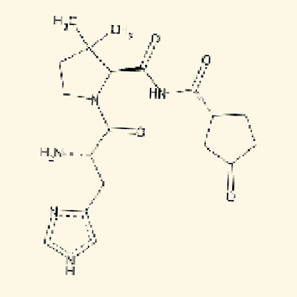 CC1(C)CCN(C(=O)[C@@H](N)Cc2c[nH]cn2)[C@@H]1C(=O)NC(=O)[C@@H]1CCC(=O)C1